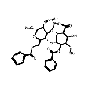 CCCCOC1C(OC(=O)c2ccccc2)[C@H](O[C@@H]2C(COC(=O)c3ccccc3)O[C@H](OC)C(N=[N+]=[N-])C2OCCCC)OC(C(=O)OC)[C@H]1O